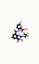 CC(Nc1ccc(Cl)nc1C(=O)O)c1cc(F)cc2c(=O)n(C)c(N3CC(F)(F)C3)nc12